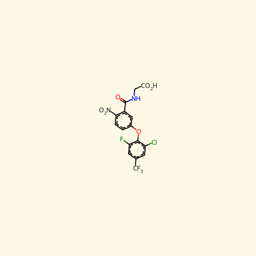 O=C(O)CNC(=O)c1cc(Oc2c(F)cc(C(F)(F)F)cc2Cl)ccc1[N+](=O)[O-]